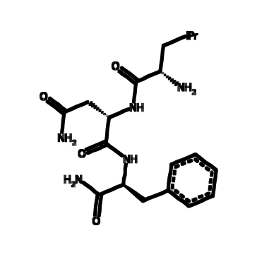 CC(C)C[C@H](N)C(=O)N[C@@H](CC(N)=O)C(=O)N[C@@H](Cc1ccccc1)C(N)=O